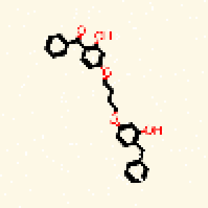 O=C(c1ccccc1)c1ccc(OCCCCOc2ccc(Cc3ccccc3)c(O)c2)cc1O